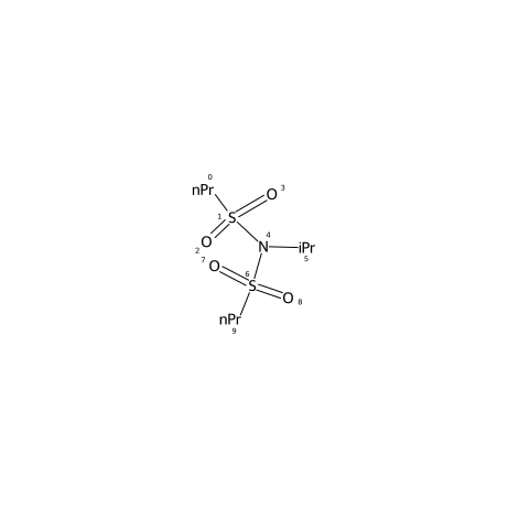 CCCS(=O)(=O)N(C(C)C)S(=O)(=O)CCC